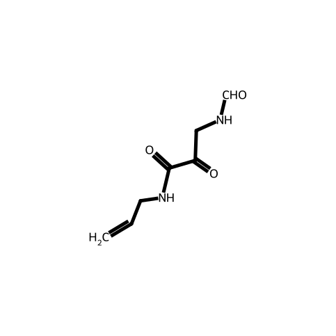 C=CCNC(=O)C(=O)CNC=O